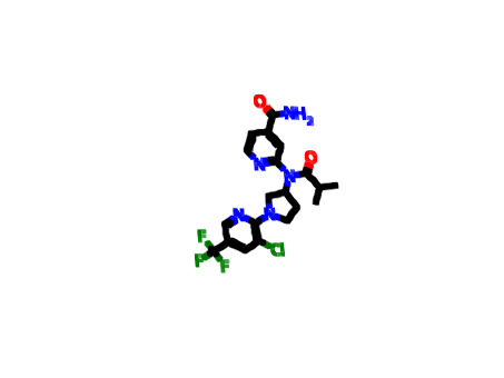 CC(C)C(=O)N(c1cc(C(N)=O)ccn1)C1CCN(c2ncc(C(F)(F)F)cc2Cl)C1